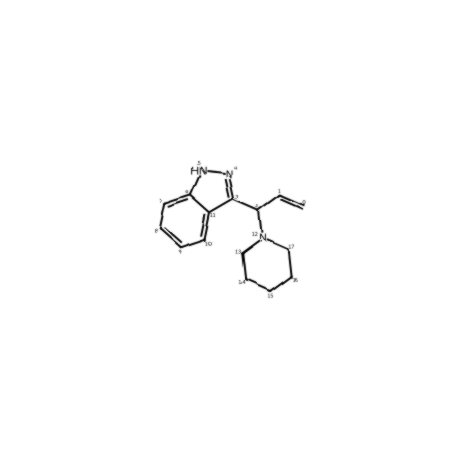 C=CC(c1n[nH]c2ccccc12)N1CCCCC1